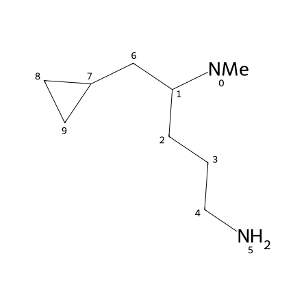 CNC(CCCN)CC1CC1